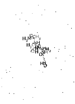 C=C(CNC(=O)CCCCCNC=O)NCC(=O)NC(CC(=C)NCCC(C)CC(N)=O)Cc1ccccc1